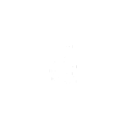 C=C.O=C(O)O.O=S(O)O